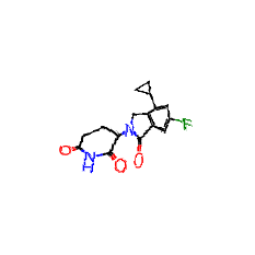 O=C1CCC(N2Cc3c(cc(F)cc3C3CC3)C2=O)C(=O)N1